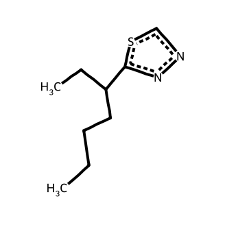 CCCCC(CC)c1nncs1